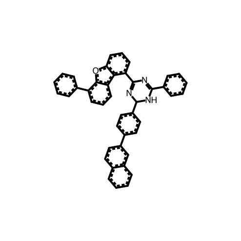 c1ccc(C2=NC(c3cccc4oc5c(-c6ccccc6)cccc5c34)=NC(c3ccc(-c4ccc5ccccc5c4)cc3)N2)cc1